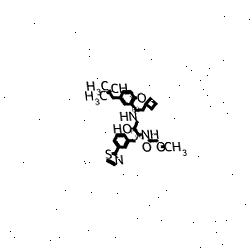 COCC(=O)N[C@H](Cc1cccc(-c2nccs2)c1)[C@H](O)CN[C@H]1CC2(CCC2)Oc2ccc(CC(C)(C)C)cc21